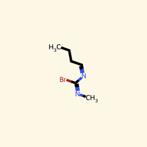 CCC/C=N\C(Br)=N/C